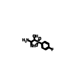 N=C(N)C(O)S(=O)(=O)c1ccc(F)cc1